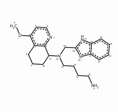 COc1ccnc2c1CCCC2N(CCCCN)Cc1nc2ccccc2[nH]1